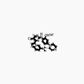 COc1cc(N2CC[N]CC2)ccc1Nc1ncc(Cl)c(-c2cnc3ccc(N(C)C)cn23)n1